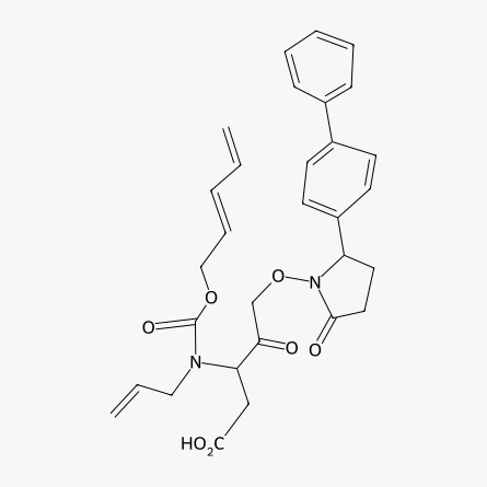 C=CC=CCOC(=O)N(CC=C)C(CC(=O)O)C(=O)CON1C(=O)CCC1c1ccc(-c2ccccc2)cc1